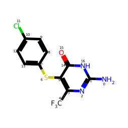 Nc1nc(C(F)(F)F)c(Sc2ccc(Cl)cc2)c(=O)[nH]1